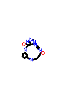 O=c1nc2ncnc3c2=c1cnc1cccc(cnccccc(=O)n2ccn3CC2)c1